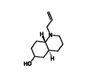 C=CCN1CCC[C@H]2CC(O)CC[C@@H]21